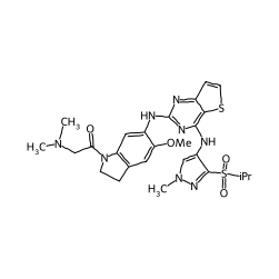 COc1cc2c(cc1Nc1nc(Nc3cn(C)nc3S(=O)(=O)C(C)C)c3sccc3n1)N(C(=O)CN(C)C)CC2